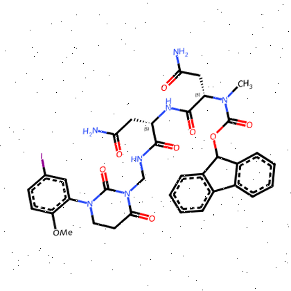 COc1ccc(I)cc1N1CCC(=O)N(CNC(=O)[C@H](CC(N)=O)NC(=O)[C@H](CC(N)=O)N(C)C(=O)OC2c3ccccc3-c3ccccc32)C1=O